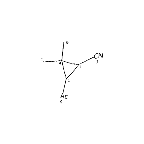 CC(=O)C1C(C#N)C1(C)C